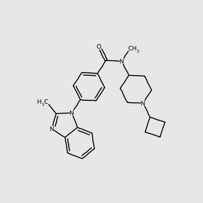 Cc1nc2ccccc2n1-c1ccc(C(=O)N(C)C2CCN(C3CCC3)CC2)cc1